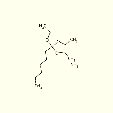 CCCCCC[Si](OCC)(OCC)OCC.N